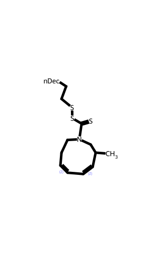 CCCCCCCCCCCCSSC(=S)N1CC/C=C\C=C/C(C)C1